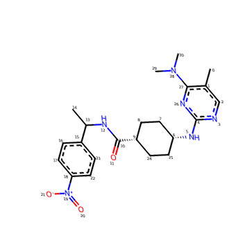 Cc1cnc(N[C@H]2CC[C@@H](C(=O)NC(C)c3ccc([N+](=O)[O-])cc3)CC2)nc1N(C)C